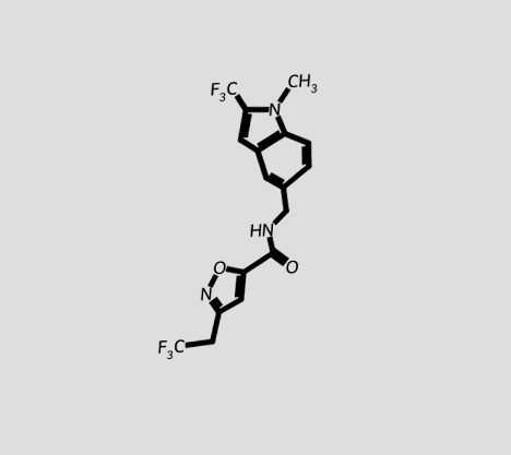 Cn1c(C(F)(F)F)cc2cc(CNC(=O)c3cc(CC(F)(F)F)no3)ccc21